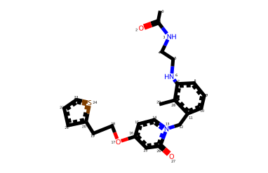 CC(=O)NCCNc1cccc(Cn2ccc(OCCc3cccs3)cc2=O)c1C